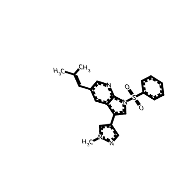 CC(C)=Cc1cnc2c(c1)c(-c1cnn(C)c1)cn2S(=O)(=O)c1ccccc1